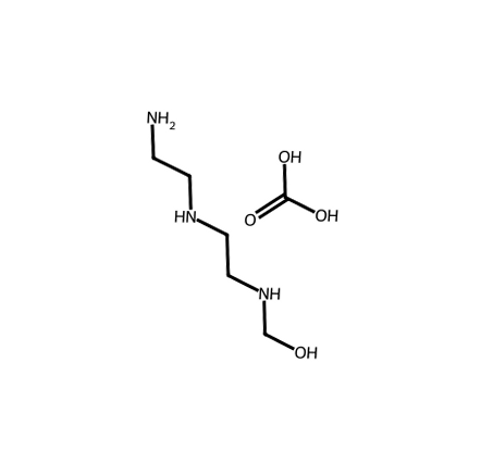 NCCNCCNCO.O=C(O)O